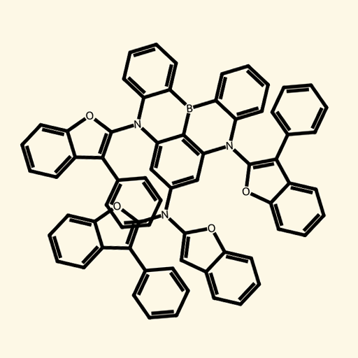 c1ccc(-c2c(N(c3cc4c5c(c3)N(c3oc6ccccc6c3-c3ccccc3)c3ccccc3B5c3ccccc3N4c3oc4ccccc4c3-c3ccccc3)c3cc4ccccc4o3)oc3ccccc23)cc1